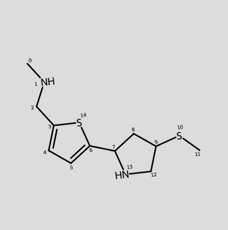 CNCc1ccc(C2CC(SC)CN2)s1